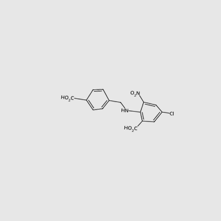 O=C(O)c1ccc(CNc2c(C(=O)O)cc(Cl)cc2[N+](=O)[O-])cc1